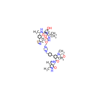 CCN(c1cc(-c2ccc(CN3CCN(CCOCC(=O)NC(C(=O)N4C[C@H](O)C[C@H]4C(=O)NC(C)c4ccc(-c5scnc5C)cc4)C(C)(C)C)CC3)cc2)cc(C(=O)NCc2c(C)cc(C)[nH]c2=O)c1C)C1CCOCC1